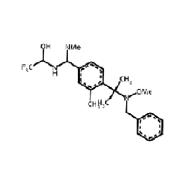 CNC(NC(O)C(F)(F)F)c1ccc(C(C)(C)N(Cc2ccccc2)OC)c(C)c1